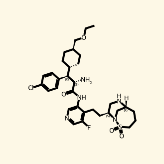 CCOC[C@H]1CC[C@H]([C@H](c2ccc(Cl)cc2)[C@H](N)C(=O)Nc2cncc(F)c2CC[C@H]2CN[C@@H]3CCCS(=O)(=O)N2C3)CC1